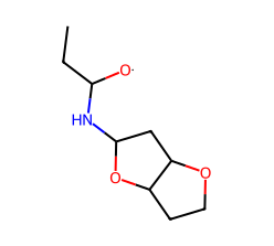 CCC([O])NC1CC2OCCC2O1